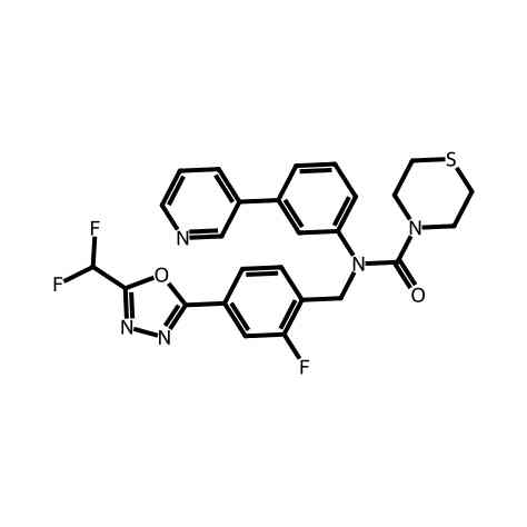 O=C(N1CCSCC1)N(Cc1ccc(-c2nnc(C(F)F)o2)cc1F)c1cccc(-c2cccnc2)c1